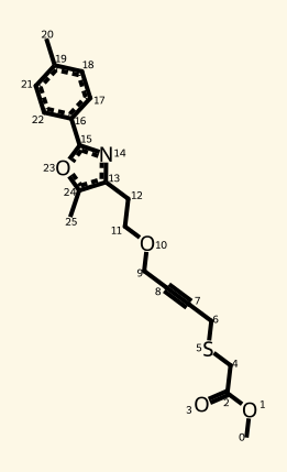 COC(=O)CSCC#CCOCCc1nc(-c2ccc(C)cc2)oc1C